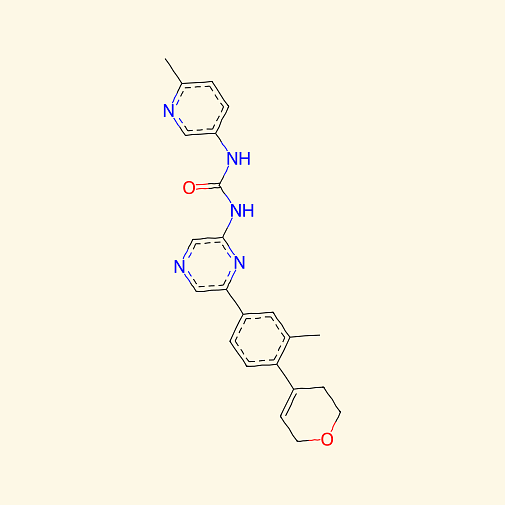 Cc1ccc(NC(=O)Nc2cncc(-c3ccc(C4=CCOCC4)c(C)c3)n2)cn1